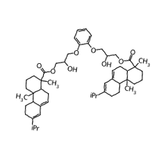 CC(C)C1=CC2=CCC3C(C)(C(=O)OCC(O)COc4ccccc4OCC(O)COC(=O)C4(C)CCCC5(C)C6CCC(C(C)C)=CC6=CCC45)CCCC3(C)C2CC1